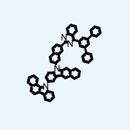 c1ccc(-c2cc(-c3ccccc3)cc(-c3nc(-c4ccc5ccc(-n6c7ccc(-n8c9ccccc9c9ccc%10ccccc%10c98)cc7c7cc8ccccc8cc76)cc5c4)nc4ccccc34)c2)cc1